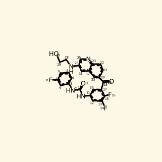 O=C(Nc1cccc(F)c1)Nc1cc(F)c(F)c(C(=O)c2ccc3ncc(NCCO)cc3c2)c1